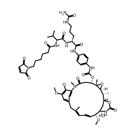 COc1cc2cc(c1Cl)N(C)C(=O)C[C@H](OC(=O)Nc1ccc(NC(=O)[C@H](CCCNC(N)=O)NC(=O)[C@@H](NC(=O)CCCCCN3C(=O)C=CC3=O)C(C)C)cc1)[C@]1(C)O[C@H]1[C@H](C)[C@@H]1C[C@@](O)(NC(=O)O1)[C@H](OC)/C=C/C=C(\C)C2